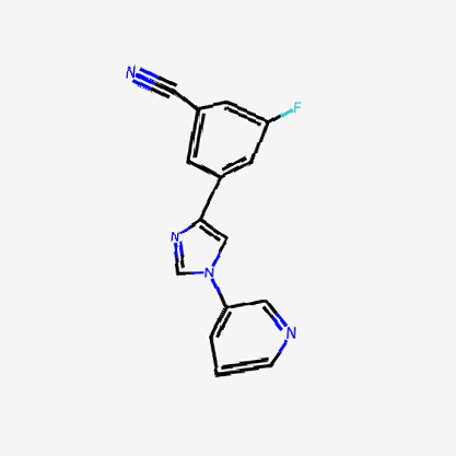 N#Cc1cc(F)cc(-c2cn(-c3cccnc3)cn2)c1